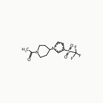 CC(=O)N1CCC(n2ccc(S(=O)(=O)C(F)(F)F)c2)CC1